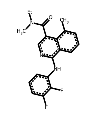 CCN(C)C(=O)c1cnc(Nc2cccc(F)c2F)c2cccc(C)c12